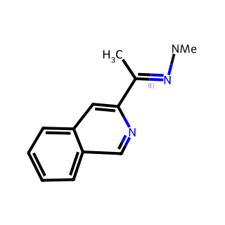 CN/N=C(\C)c1cc2ccccc2cn1